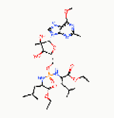 CCOC(=O)C(CC(C)C)NP(=O)(NC(CC(C)C)C(=O)OCC)OC[C@H]1O[C@@H](n2cnc3c(OC)nc(C)nc32)[C@@](C)(O)C1O